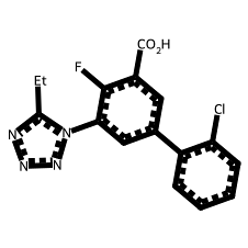 CCc1nnnn1-c1cc(-c2ccccc2Cl)cc(C(=O)O)c1F